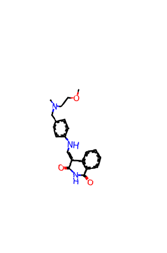 COCCN(C)Cc1ccc(N/C=C2/C(=O)NC(=O)c3ccccc32)cc1